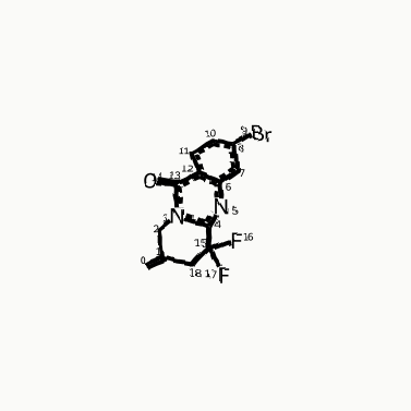 C=C1Cn2c(nc3cc(Br)ccc3c2=O)C(F)(F)C1